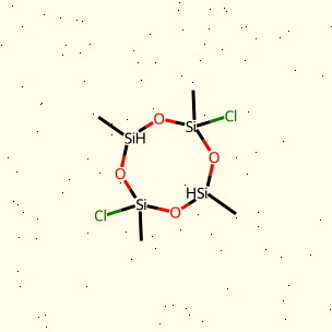 C[SiH]1O[Si](C)(Cl)O[SiH](C)O[Si](C)(Cl)O1